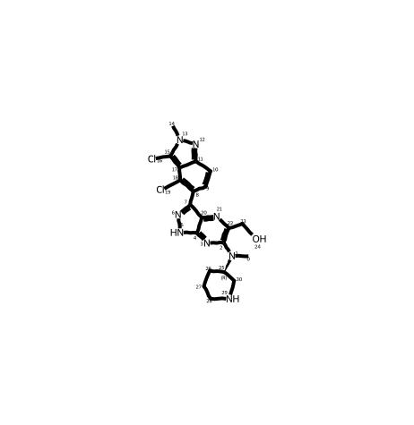 CN(c1nc2[nH]nc(-c3ccc4nn(C)c(Cl)c4c3Cl)c2nc1CO)[C@@H]1CCCNC1